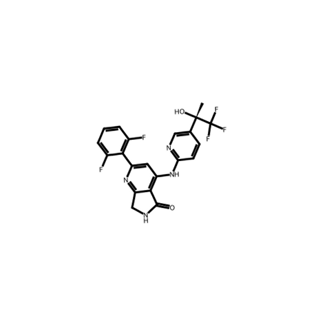 C[C@](O)(c1ccc(Nc2cc(-c3c(F)cccc3F)nc3c2C(=O)NC3)nc1)C(F)(F)F